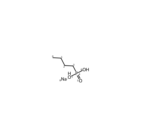 CCCCP(=O)(O)O.[Na]